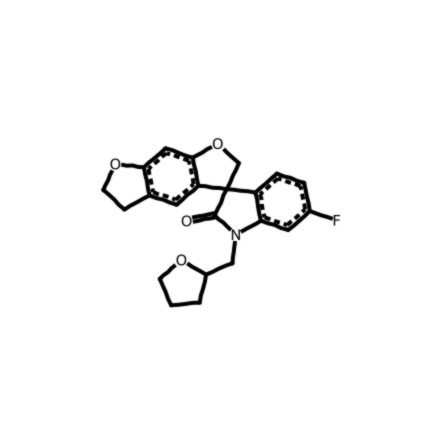 O=C1N(CC2CCCO2)c2cc(F)ccc2C12COc1cc3c(cc12)CCO3